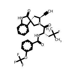 C#C[C@@H]1C[C@@]2(CN1C(=O)[C@H](CC(C)(C)F)NC(=O)c1cccc(OC(F)(F)F)c1)C(=O)Nc1ccccc12